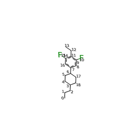 CCCC1CCC(c2cc(F)c(CC)c(F)c2)CC1